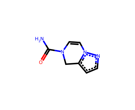 NC(=O)N1C=Cn2nccc2C1